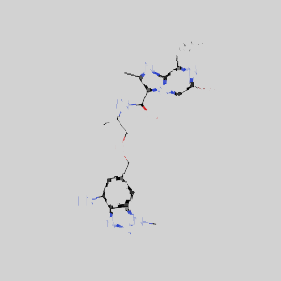 COc1nc(Br)cn2c(C(=O)N[C@H](C)COCc3cc(N)c4nnn(C)c4c3)c(C)nc12